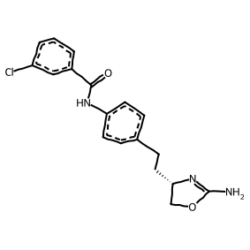 NC1=N[C@@H](CCc2ccc(NC(=O)c3cccc(Cl)c3)cc2)CO1